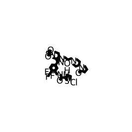 CS(=O)(=O)N1CCc2c(c(-c3ccc(C(F)(F)F)c(CNC(=O)c4ccc(Cl)s4)c3)nn2CC(O)CN2CCC(N3CCCC3=O)CC2)C1